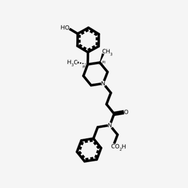 C[C@H]1CN(CCC(=O)N(CC(=O)O)Cc2ccccc2)CC[C@@]1(C)c1cccc(O)c1